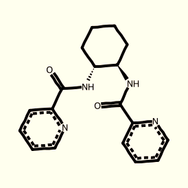 O=C(N[C@@H]1CCCC[C@H]1NC(=O)c1ccccn1)c1ccccn1